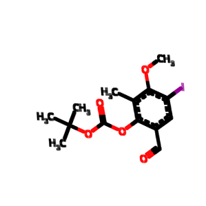 COc1c(I)cc(C=O)c(OC(=O)OC(C)(C)C)c1C